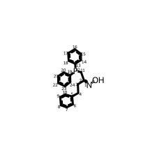 ON=C(CCc1ccccc1)CP(c1ccccc1)c1ccccc1